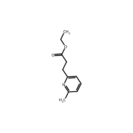 CCOC(=O)CCc1cccc(C)n1